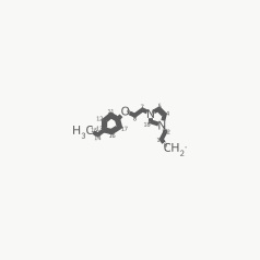 [CH2]CCN1C=CN(CCOc2ccc(CC)cc2)C1